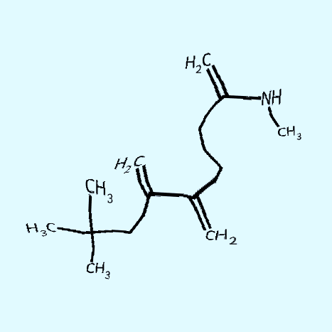 C=C(CCC(=C)C(=C)CC(C)(C)C)NC